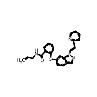 C=CCNC(=O)c1ccccc1Sc1ccc2cnn(C=Cc3ccccn3)c2c1